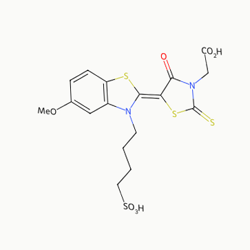 COc1ccc2c(c1)N(CCCCS(=O)(=O)O)/C(=C1\SC(=S)N(CC(=O)O)C1=O)S2